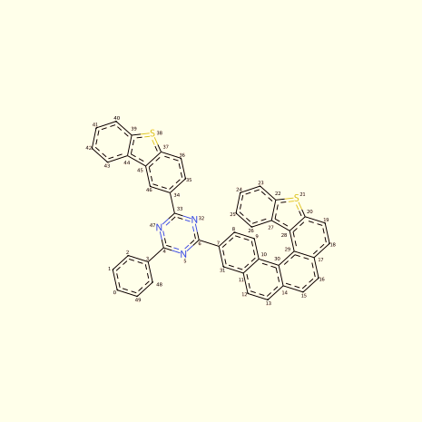 c1ccc(-c2nc(-c3ccc4c(ccc5ccc6ccc7sc8ccccc8c7c6c54)c3)nc(-c3ccc4sc5ccccc5c4c3)n2)cc1